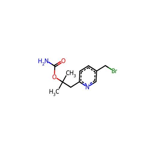 CC(C)(Cc1ccc(CBr)cn1)OC(N)=O